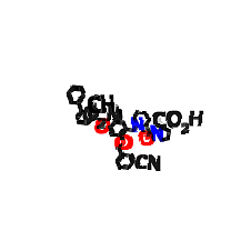 Cc1c(COc2cc(OCc3cccc(C#N)c3)c(CN3CCCC[C@H]3C(=O)N3CCC[C@H]3C(=O)O)cc2[N+](=O)[O-])cccc1-c1ccccc1